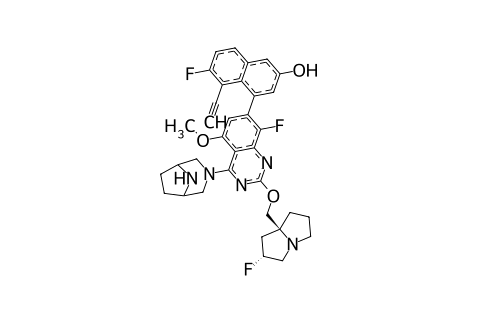 C#Cc1c(F)ccc2cc(O)cc(-c3cc(OC)c4c(N5CC6CCC(C5)N6)nc(OC[C@@]56CCCN5C[C@H](F)C6)nc4c3F)c12